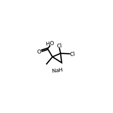 CC1(C(=O)O)CC1(Cl)Cl.[NaH]